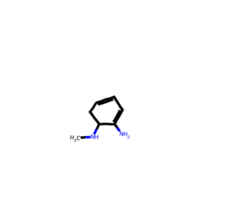 CNC1CC=CC=C1N